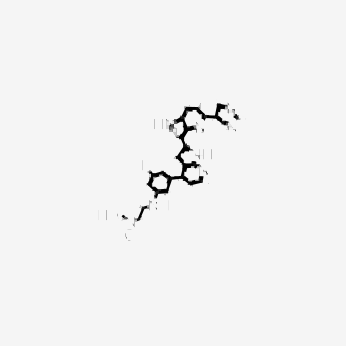 CN(C)CCNc1cc(F)cc(-c2ccnc3[nH]c(-c4n[nH]c5ccc(-c6cncnc6)nc45)cc23)c1